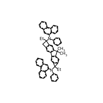 CCC1(N(c2ccccc2)c2cc3ccccc3c3ccccc23)Cc2cc3c(cc21)C(C)(C)c1cc2c(cc1-3)C2(CC)N(c1ccccc1)c1cc2ccccc2c2ccccc12